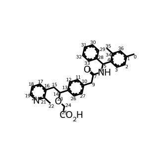 Cc1ccc(C(NC(=O)Cc2ccc(C(Cc3cccnc3C)OCC(=O)O)cc2)c2ccccc2)c(C)c1